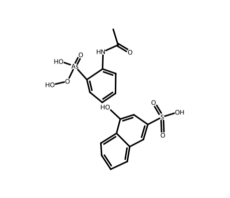 CC(=O)Nc1ccccc1[As](=O)(O)OO.O=S(=O)(O)c1cc(O)c2ccccc2c1